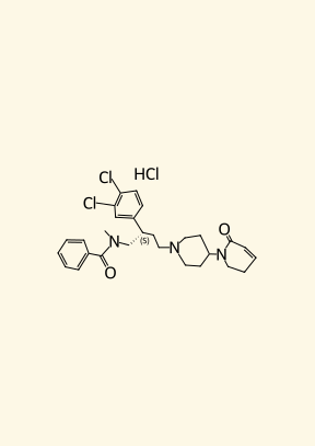 CN(C[C@@H](CCN1CCC(N2CCC=CC2=O)CC1)c1ccc(Cl)c(Cl)c1)C(=O)c1ccccc1.Cl